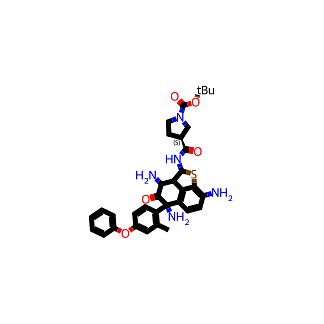 Cc1cc(Oc2ccccc2)ccc1C1(N)C(=O)C(N)C2c3c1ccc(N)c3SC2NC(=O)[C@H]1CCN(C(=O)OC(C)(C)C)C1